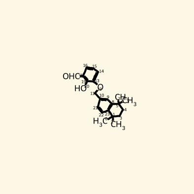 CC1(C)CCC(C)(C)c2cc(COc3cccc(C=O)c3O)ccc21